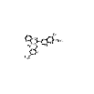 CC[C@H](c1ncccn1)N(Cc1ccc(C(F)(F)F)cn1)C(=O)c1cnc2nc(N)c(Br)cc2c1